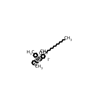 CCCCCCCCCCCCCCOc1ccc(CN(Cc2cccc[n+]2C)S(=O)(=O)c2ccc(C)cc2)cc1OC.[I-]